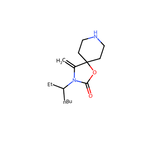 C=C1N(C(CC)CCCC)C(=O)OC12CCNCC2